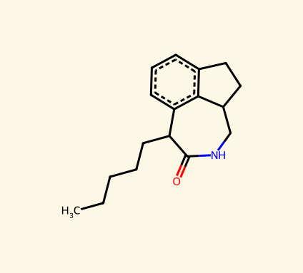 CCCCCC1C(=O)NCC2CCc3cccc1c32